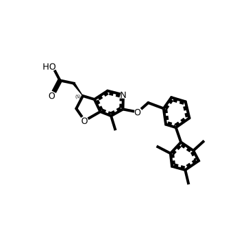 Cc1cc(C)c(-c2cccc(COc3ncc4c(c3C)OC[C@H]4CC(=O)O)c2)c(C)c1